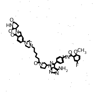 COc1ccc(F)cc1C(=O)NCc1ccc(-c2nn(C3CCN(C(=O)CCCCCN4CCN(c5ccc6c(c5)CN(C5CCC(=O)NC5=O)C6=O)CC4)C3)c3ncnc(N)c23)cc1